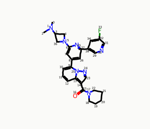 CN(C)C1CN(c2cc(-c3cccc4c(C(=O)N5CCCCC5)cnn34)cc(-c3cncc(F)c3)n2)C1